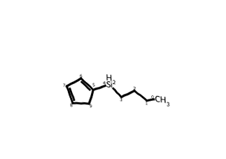 CCCC[SiH2]C1=CC=CC1